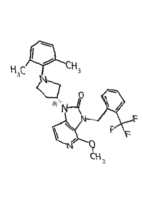 COc1nccc2c1n(Cc1ccccc1C(F)(F)F)c(=O)n2[C@@H]1CCN(c2c(C)cccc2C)C1